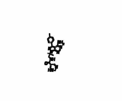 Cc1ccc(-c2nn(C(C)(C)CNC(=O)C3=CNCN=C3)c3ncnc(N)c23)cc1